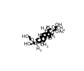 CC(=O)O[C@@H]([C@H]1C[C@@H](C)[C@H]2[C@H](O1)C(=O)[C@@]1(C)[C@@H]3CC[C@H]4C(C)(C)[C@@H](O[C@@H](CO)OCCO)CC[C@@]45C[C@@]35CC[C@]21C)C(C)(C)O